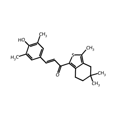 Cc1cc(/C=C/C(=O)c2sc(C)c3c2CCC(C)(C)C3)cc(C)c1O